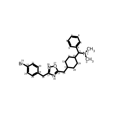 CN(C)C(c1ccccc1)C1CCC(Cc2nc(Cc3ccc(Br)cc3)no2)CC1